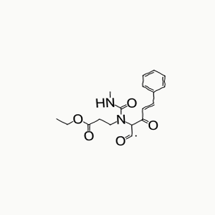 CCOC(=O)CCN(C(=O)NC)C([C]=O)C(=O)C=Cc1ccccc1